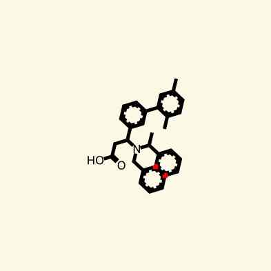 Cc1ccc(C)c(-c2cccc(C(CC(=O)O)N(Cc3ccccc3)C(C)c3ccccc3)c2)c1